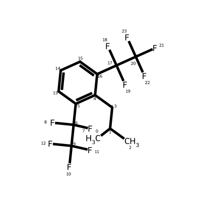 CC(C)[CH]c1c(C(F)(F)C(F)(F)F)cccc1C(F)(F)C(F)(F)F